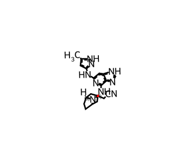 Cc1cc(Nc2cc3[nH]cnc3c(N[C@@H]3CC4CC[C@@H](C3)N4CCC#N)n2)n[nH]1